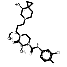 C[C@H]1C(=O)N([C@H](CO)CCN2CCC3(CC3)[C@H](O)C2)CCN1C(=O)Nc1ccc(F)c(Cl)c1